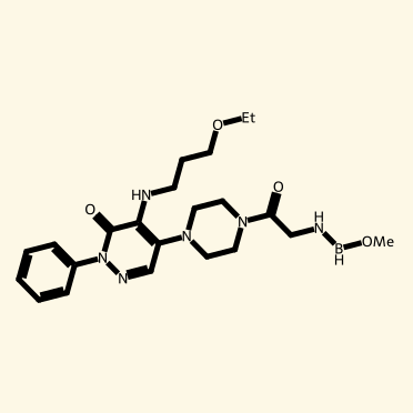 CCOCCCNc1c(N2CCN(C(=O)CNBOC)CC2)cnn(-c2ccccc2)c1=O